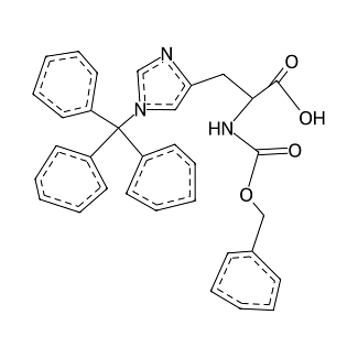 O=C(NC(Cc1cn(C(c2ccccc2)(c2ccccc2)c2ccccc2)cn1)C(=O)O)OCc1ccccc1